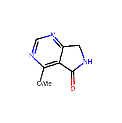 COc1ncnc2c1C(=O)NC2